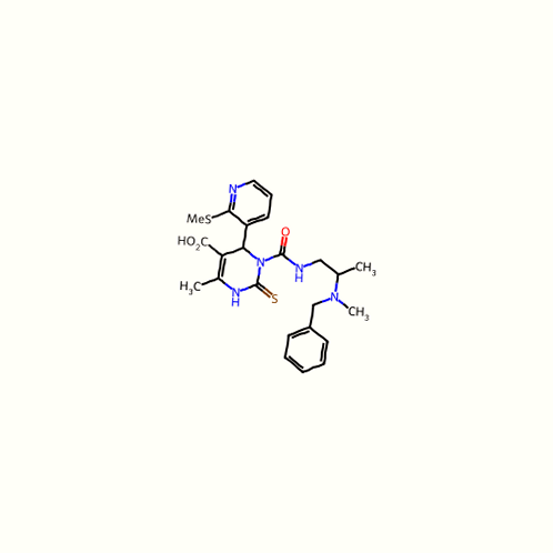 CSc1ncccc1C1C(C(=O)O)=C(C)NC(=S)N1C(=O)NCC(C)N(C)Cc1ccccc1